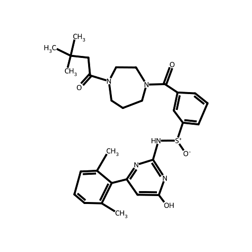 Cc1cccc(C)c1-c1cc(O)nc(N[S+]([O-])c2cccc(C(=O)N3CCCN(C(=O)CC(C)(C)C)CC3)c2)n1